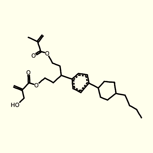 C=C(C)C(=O)OCCC(CCOC(=O)C(=C)CO)c1ccc(C2CCC(CCCC)CC2)cc1